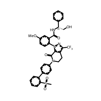 COc1ccc(-n2nc(C(F)(F)F)c3c2C(=O)N(c2ccc(-c4ccccc4S(C)(=O)=O)cc2)CC3)c(C(=O)N[C@@H](CO)c2ccccc2)c1